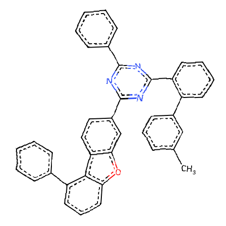 Cc1cccc(-c2ccccc2-c2nc(-c3ccccc3)nc(-c3ccc4c(c3)oc3cccc(-c5ccccc5)c34)n2)c1